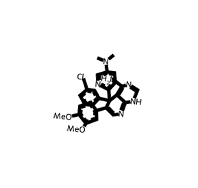 COc1ccc(C2=CN=C3NC=NC(N)=C3C2(c2cccc(Cl)c2)c2ccc(N(C)C)cn2)cc1OC